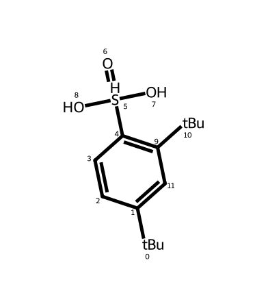 CC(C)(C)c1ccc([SH](=O)(O)O)c(C(C)(C)C)c1